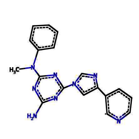 CN(c1ccccc1)c1nc(N)nc(-n2cnc(-c3[c]nccc3)c2)n1